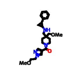 COCCn1cc(C(=O)N2CCC(CNC3CC3c3ccccc3)(COC)CC2)cn1